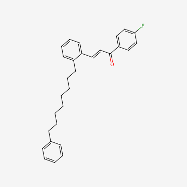 O=C(C=Cc1ccccc1CCCCCCCCc1ccccc1)c1ccc(F)cc1